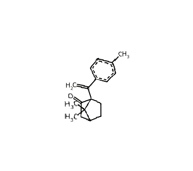 C=C(c1ccc(C)cc1)C12CCC(CC1=O)C2(C)C